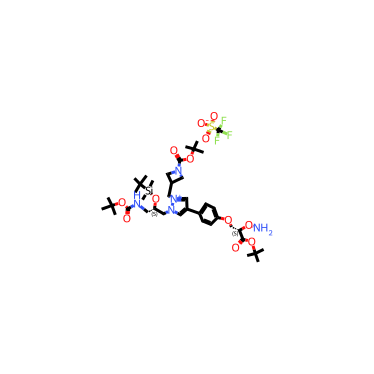 CC(C)(C)OC(=O)NC[C@@H](Cn1cc(-c2ccc(OC[C@H](ON)C(=O)OC(C)(C)C)cc2)c[n+]1CC1CN(C(=O)OC(C)(C)C)C1)O[Si](C)(C)C(C)(C)C.O=S(=O)([O-])C(F)(F)F